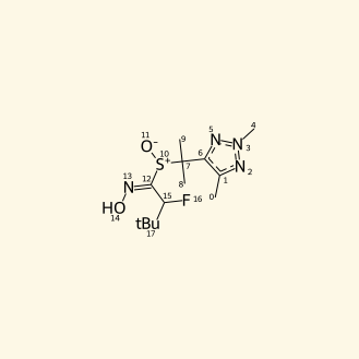 Cc1nn(C)nc1C(C)(C)[S+]([O-])/C(=N/O)C(F)C(C)(C)C